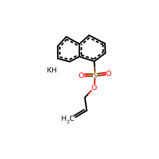 C=CCOS(=O)(=O)c1cccc2ccccc12.[KH]